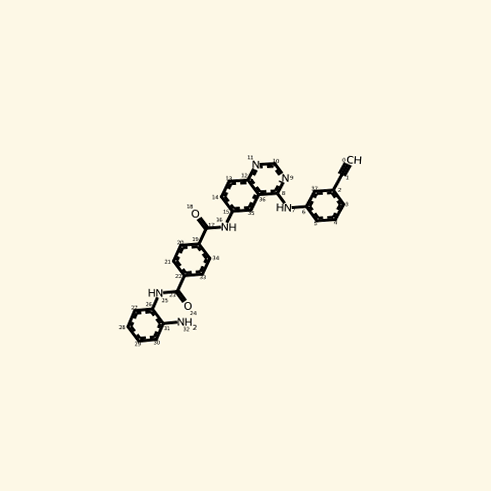 C#Cc1cccc(Nc2ncnc3ccc(NC(=O)c4ccc(C(=O)Nc5ccccc5N)cc4)cc23)c1